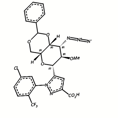 CO[C@@H]1[C@@H](N=[N+]=[N-])[C@H]2OC(c3ccccc3)OC[C@H]2O[C@H]1c1cc(C(=O)O)nn1-c1cc(Cl)ccc1C(F)(F)F